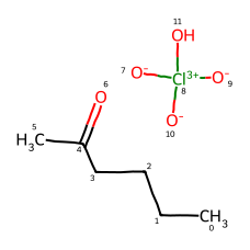 CCCCC(C)=O.[O-][Cl+3]([O-])([O-])O